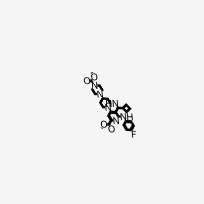 COC(=O)c1cc(N2CCC(N3CCN(C(=O)OC)CC3)CC2)c(C(=N)C2CCC2)c(Nc2ccc(F)cc2)n1